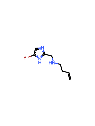 C=CCCNCc1ncc(Br)[nH]1